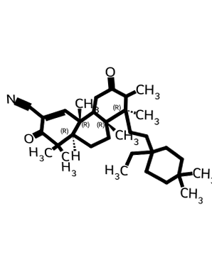 CCC1(CC[C@]2(C)C(C)C(=O)CC3[C@@]4(C)C=C(C#N)C(=O)C(C)(C)[C@@H]4CC[C@]32C)CCC(C)(C)CC1